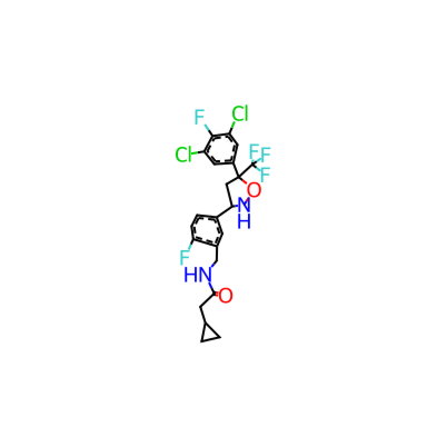 O=C(CC1CC1)NCc1cc(C2CC(c3cc(Cl)c(F)c(Cl)c3)(C(F)(F)F)ON2)ccc1F